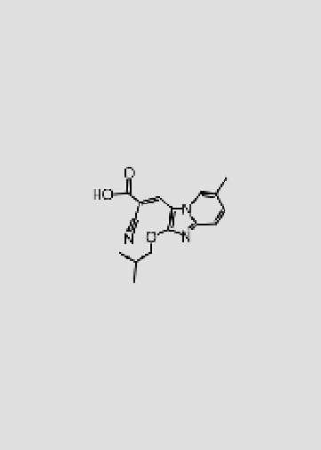 Cc1ccc2nc(OCC(C)C)c(C=C(C#N)C(=O)O)n2c1